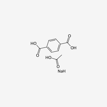 CC(=O)O.O=C(O)c1ccc(C(=O)O)cc1.[NaH]